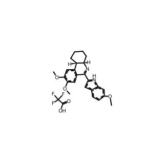 COc1ccc2cc(C3=N[C@H]4CCCC[C@H]4c4cc(OC)c(OC)cc43)[nH]c2c1.O=C(O)C(F)(F)F